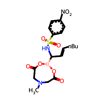 CCCC/C=C/C(NS(=O)(=O)c1ccc([N+](=O)[O-])cc1)B1OC(=O)CN(C)CC(=O)O1